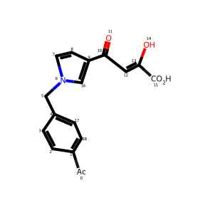 CC(=O)c1ccc(Cn2ccc(C(=O)C=C(O)C(=O)O)c2)cc1